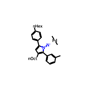 CCCCCCCCC1=C(c2cccc(C)c2)[N+](=[N-])C(c2ccc(CCCCCC)cc2)=C1.[CH3][Pd][CH3]